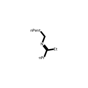 CC[CH]C(CC)=NCCCCCC